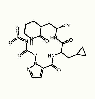 N#C[C@H](CC1CCCNC1=O)NC(=O)C(CC1CC1)NC(=O)c1ccnn1OC(=O)N=S(=O)=O